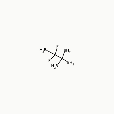 BC(B)(B)C(B)(F)F